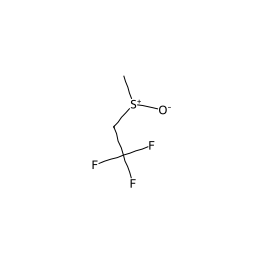 C[S+]([O-])CC(F)(F)F